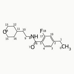 CCc1ccc(C(=O)NCCC2CCOCC2)c(F)c1